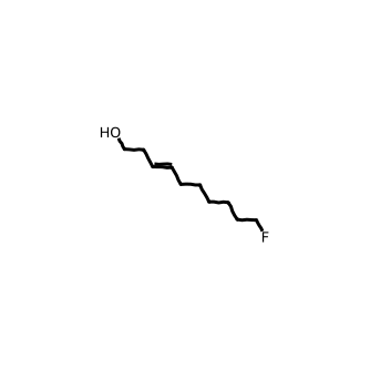 OCCC=CCCCCCCF